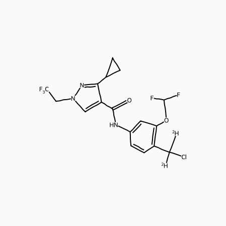 [2H]C([2H])(Cl)c1ccc(NC(=O)c2cn(CC(F)(F)F)nc2C2CC2)cc1OC(F)F